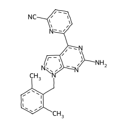 Cc1cccc(C)c1Cn1ncc2c(-c3cccc(C#N)n3)nc(N)nc21